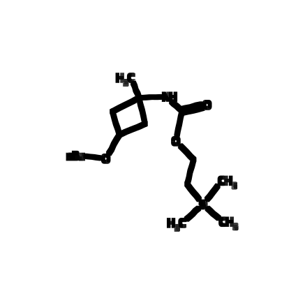 CCCCOC1CC(C)(NC(=O)OCC[Si](C)(C)C)C1